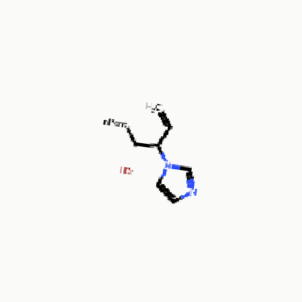 Br.C=CC(CCCCCC)n1ccnc1